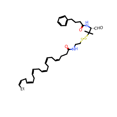 CC/C=C\C/C=C\C/C=C\C/C=C\C/C=C\C/C=C\CCC(=O)NCCSSC(C)(C)[C@@H](C=O)NC(=O)CCCc1ccccc1